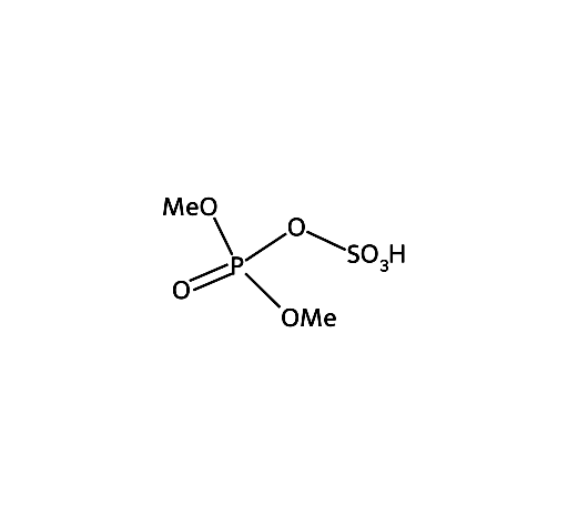 COP(=O)(OC)OS(=O)(=O)O